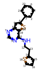 c1ccc(-c2cc3ncnc(NCCc4cccs4)c3s2)cc1